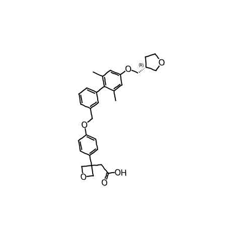 Cc1cc(OC[C@@H]2CCOC2)cc(C)c1-c1cccc(COc2ccc(C3(CC(=O)O)COC3)cc2)c1